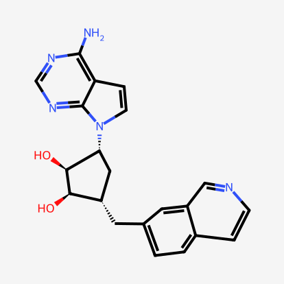 Nc1ncnc2c1ccn2[C@@H]1C[C@H](Cc2ccc3ccncc3c2)[C@@H](O)[C@H]1O